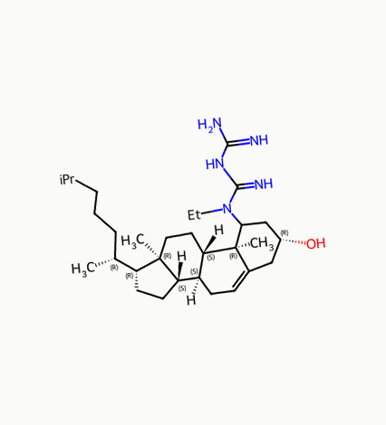 CCN(C(=N)NC(=N)N)C1C[C@H](O)CC2=CC[C@H]3[C@@H]4CC[C@H]([C@H](C)CCCC(C)C)[C@@]4(C)CC[C@@H]3[C@]21C